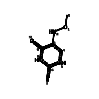 CONc1c[nH]c(=S)[nH]c1=O